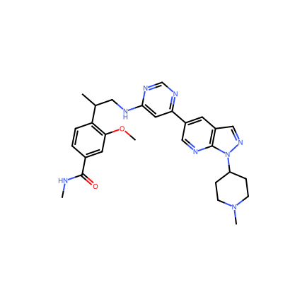 CNC(=O)c1ccc(C(C)CNc2cc(-c3cnc4c(cnn4C4CCN(C)CC4)c3)ncn2)c(OC)c1